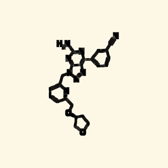 N#Cc1cccc(-c2nc(N)nc3c2nnn3Cc2cccc(CO[C@H]3CCOC3)n2)c1